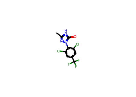 Cc1nn(-c2c(Cl)cc(C(F)(F)F)cc2Cl)c(=O)[nH]1